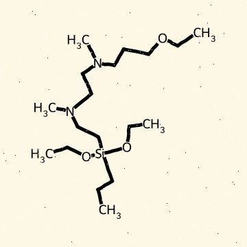 CCC[Si](CCN(C)CCN(C)CCCOCC)(OCC)OCC